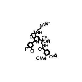 COc1cc(C(=O)NCC(O)(c2cc3c(c(-c4ccc(F)c(Cl)c4)n2)OCC3(C)NCCN=[N+]=[N-])C(F)(F)F)ccc1OC1CC1